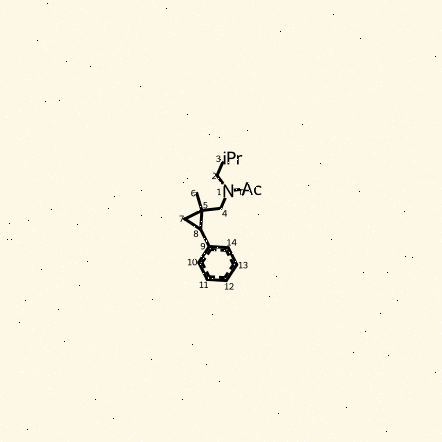 CC(=O)N(CC(C)C)CC1(C)CC1c1ccccc1